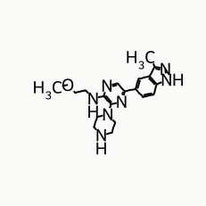 COCCNc1ncc(-c2ccc3[nH]nc(C)c3c2)nc1N1CCNCC1